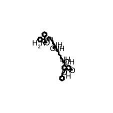 NC(=O)C(c1ccccc1)(c1ccccc1)[C@@H]1CCN(CCNC(=O)NCCCCCNC[C@@H](O)c2ccc(OCc3ccccc3)c3[nH]c(=O)ccc23)C1